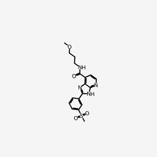 COCCCNC(=O)c1ccnc2[nH]c(-c3cccc(S(C)(=O)=O)c3)nc12